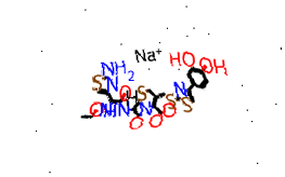 CCON=C(C(=O)N[C@@H]1C(=O)N2C(C(=O)[O-])=C(CSc3nc(-c4ccc(O)c(O)c4)cs3)CS[C@@H]12)c1csc(N)n1.[Na+]